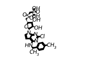 Cc1ccc([C@H](C)Nc2nc(Cl)nc3c2ccn3[C@@H]2O[C@H](CS(=O)(=O)CP(=O)(O)O)[C@@H](O)[C@H]2O)cc1